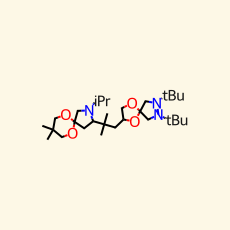 CC(C)N1CC2(CC1C(C)(C)CC1COC3(CN(C(C)(C)C)N(C(C)(C)C)C3)O1)OCC(C)(C)CO2